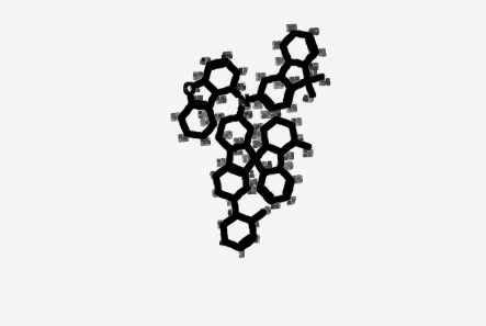 CC1C=CCCC1C1CCC2=C(C1)C1(C3C=CC=CC3C3C(C)CCCC31)C1CC(N(C3=CC=C4C(C3)C3CCC=CC3C4(C)C)C3CC=CC4OC5=C(CCCC5)C43)CCC21